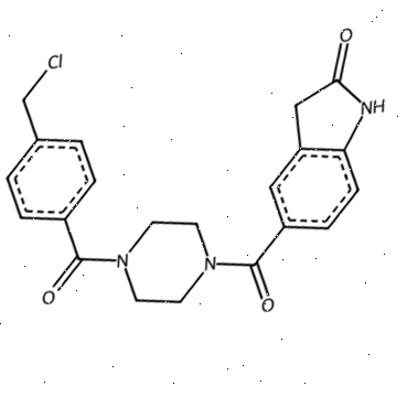 O=C1Cc2cc(C(=O)N3CCN(C(=O)c4ccc(CCl)cc4)CC3)ccc2N1